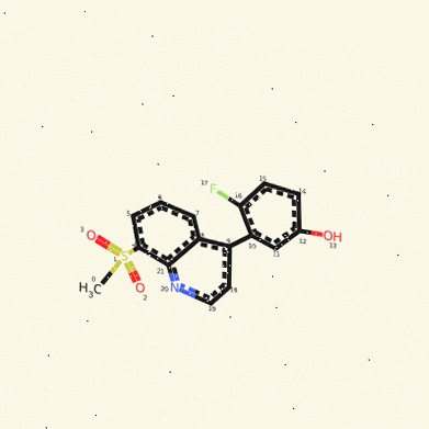 CS(=O)(=O)c1cccc2c(-c3cc(O)ccc3F)ccnc12